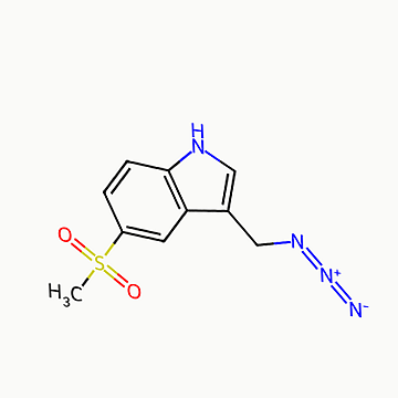 CS(=O)(=O)c1ccc2[nH]cc(CN=[N+]=[N-])c2c1